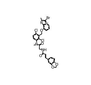 Cc1nc2c(OCc3c(Cl)ccc(N(C)C(=O)CNC(=O)C=Cc4ccc5c(c4)OCO5)c3Cl)cccn2c1Br